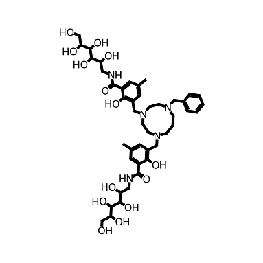 Cc1cc(CN2CCCN(Cc3ccccc3)CCN(Cc3cc(C)cc(C(=O)NCC(O)C(O)C(O)C(O)CO)c3O)CC2)c(O)c(C(=O)NCC(O)C(O)C(O)C(O)CO)c1